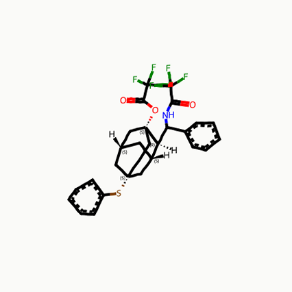 O=C(NC(c1ccccc1)[C@H]1[C@H]2C[C@@H]3C[C@](Sc4ccccc4)(C2)C[C@@]1(OC(=O)C(F)(F)F)C3)C(F)(F)F